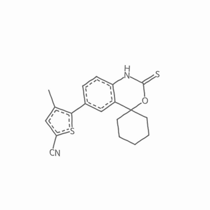 Cc1cc(C#N)sc1-c1ccc2c(c1)C1(CCCCC1)OC(=S)N2